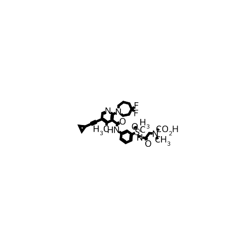 Cc1c(C#CC2CC2)cnc(N2CCCC(F)(F)CC2)c1C(=O)Nc1cccc(S(C)(=O)=NC(=O)CN(C)C(=O)O)c1